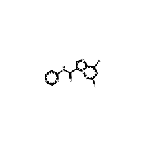 O=C(Nc1ccncn1)c1cnc2c(Br)cc(Cl)nn12